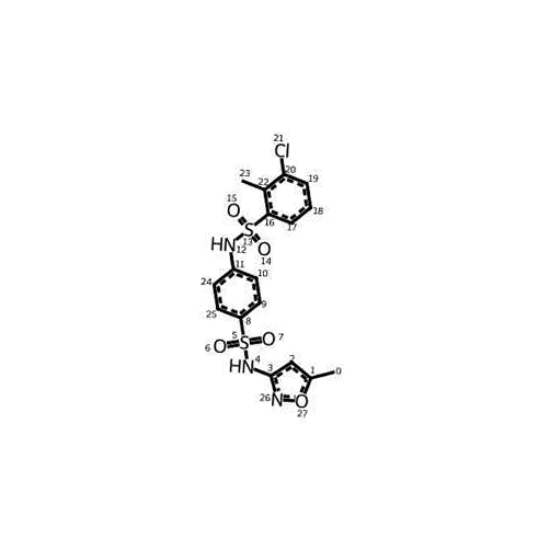 Cc1cc(NS(=O)(=O)c2ccc(NS(=O)(=O)c3cccc(Cl)c3C)cc2)no1